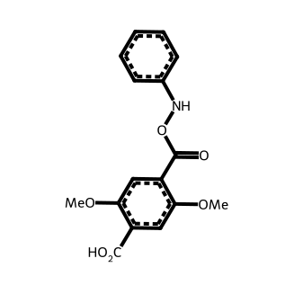 COc1cc(C(=O)ONc2ccccc2)c(OC)cc1C(=O)O